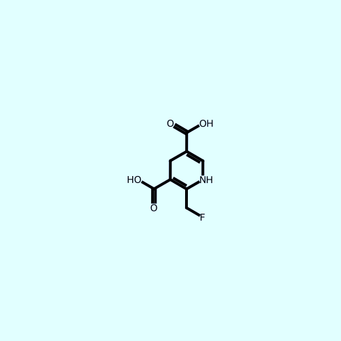 O=C(O)C1=CNC(CF)=C(C(=O)O)C1